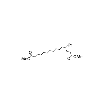 COC(=O)CCCCCCCCCCC(CCC(=O)OC)C(C)C